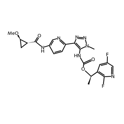 CO[C@@H]1C[C@H]1C(=O)Nc1ccc(-c2nnn(C)c2NC(=O)O[C@H](C)c2cc(F)cnc2F)nc1